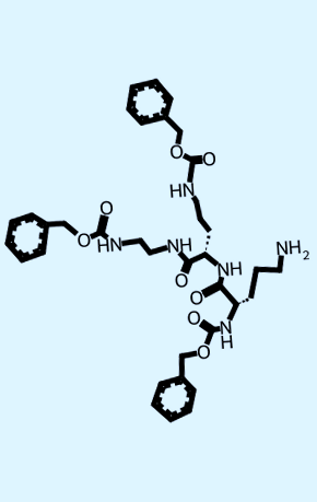 NCCC[C@H](NC(=O)OCc1ccccc1)C(=O)N[C@@H](CCCNC(=O)OCc1ccccc1)C(=O)NCCNC(=O)OCc1ccccc1